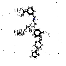 CCOC(=O)CS(=O)(=O)N(C/C=C/c1cccc(C(=N)N)c1)c1ccc(OC2CCN(C3=NCCC3)CC2)c(C(F)(F)F)c1.Cl.Cl